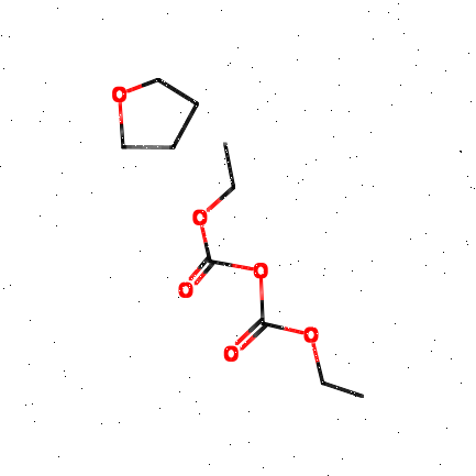 C1CCOC1.CCOC(=O)OC(=O)OCC